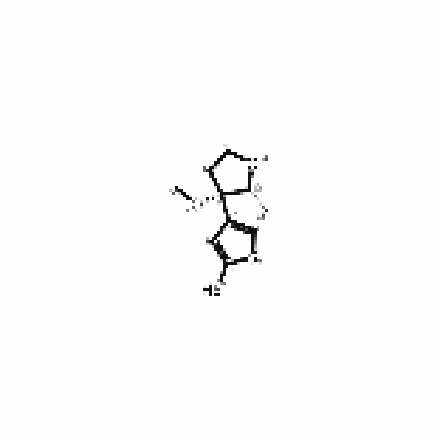 CO[C@]1(c2csc(S)c2)CCO[C@@H]1C